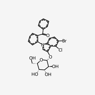 O=C(c1ccccc1)c1ccccc1-n1cc(O[C@H]2O[C@@H](CO)[C@@H](O)[C@@H](O)[C@@H]2O)c2c(Cl)c(Br)ccc21